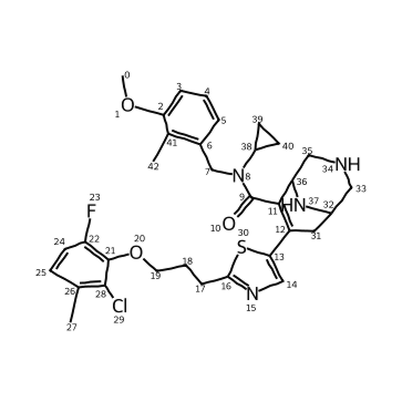 COc1cccc(CN(C(=O)C2=C(c3cnc(CCCOc4c(F)ccc(C)c4Cl)s3)CC3CNCC2N3)C2CC2)c1C